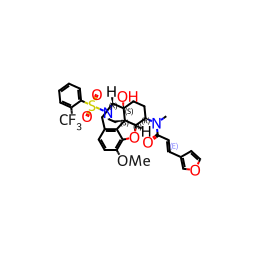 COc1ccc2c3c1O[C@H]1[C@H](N(C)C(=O)/C=C/c4ccoc4)CC[C@@]4(O)[C@@H](C2)N(S(=O)(=O)c2ccccc2C(F)(F)F)CC[C@]314